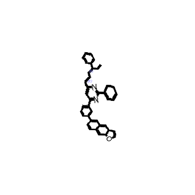 C=C/C(=C\C=C\c1cc(-c2cccc(-c3ccc4c(c3)=CC3C=COC3C=4)c2)nc(C2=CC=CCC2)n1)c1ccccc1